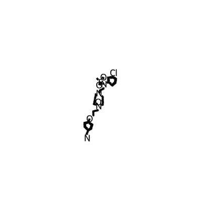 CS(=O)(=O)N(CCN1CC2CN(CCCOc3ccc(C#N)cc3)CC(C1)O2)c1cccc(Cl)c1